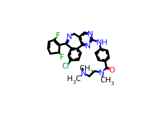 CN(C)CCN(C)C(=O)c1ccc(Nc2ncc3c(n2)-c2ccc(Cl)cc2C(C2=C(F)C=CCC2F)=NC3)cc1